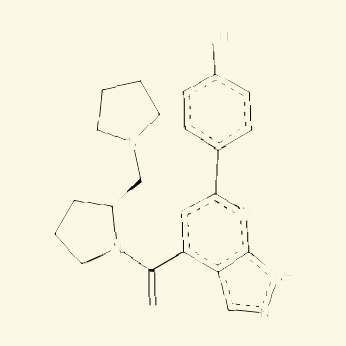 O=C(c1cc(-c2ccc(O)cc2)nc2[nH]ncc12)N1CCC[C@H]1CN1CCCC1